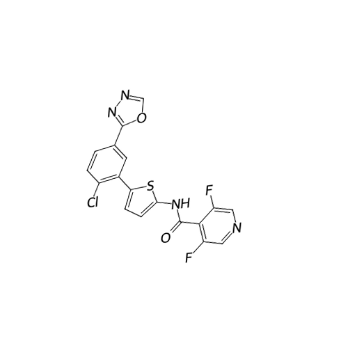 O=C(Nc1ccc(-c2cc(-c3nnco3)ccc2Cl)s1)c1c(F)cncc1F